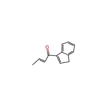 C/C=C/C(=O)C1=CCc2ccccc21